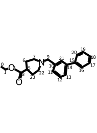 CCOC(=O)C1CCN(Cc2cccc(-c3ccccc3)c2)CC1